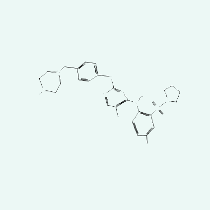 CN1CCN(Cc2ccc(Nc3ncc(I)c(N(C)c4ccc(F)cc4S(=O)(=O)N4CCCC4)n3)cc2)CC1